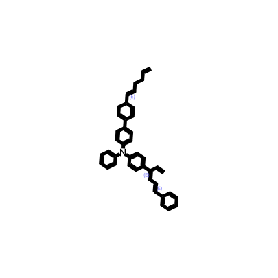 C=CCC/C=C/C1C=CC(c2ccc(N(c3ccccc3)c3ccc(/C(C=C)=C/C=C/c4ccccc4)cc3)cc2)=CC1